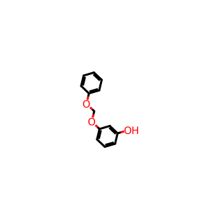 Oc1cccc(OCOc2ccccc2)c1